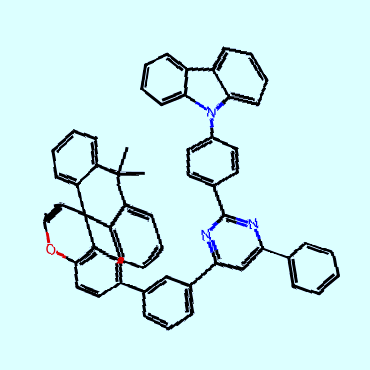 CC1(C)c2ccccc2C2(c3ccccc3Oc3ccc(-c4cccc(-c5cc(-c6ccccc6)nc(-c6ccc(-n7c8ccccc8c8ccccc87)cc6)n5)c4)cc32)c2ccccc21